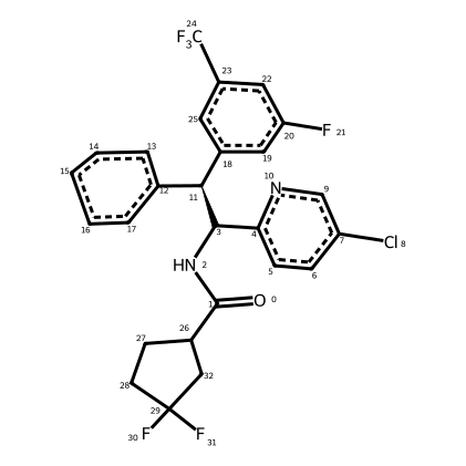 O=C(NC(c1ccc(Cl)cn1)[C@@H](c1ccccc1)c1cc(F)cc(C(F)(F)F)c1)C1CCC(F)(F)C1